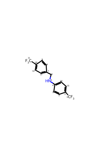 FC(F)(F)c1c[c]c(NCc2ccc(C(F)(F)F)cc2)cc1